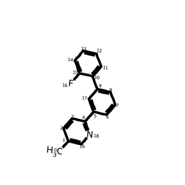 Cc1ccc(-c2cccc(-c3ccccc3F)c2)nc1